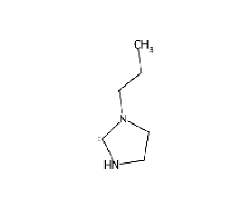 CCCN1[C]NCC1